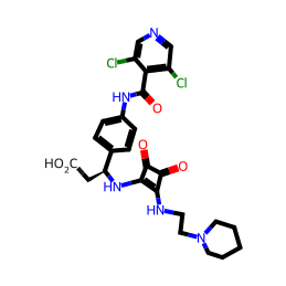 O=C(O)C[C@H](Nc1c(NCCN2CCCCC2)c(=O)c1=O)c1ccc(NC(=O)c2c(Cl)cncc2Cl)cc1